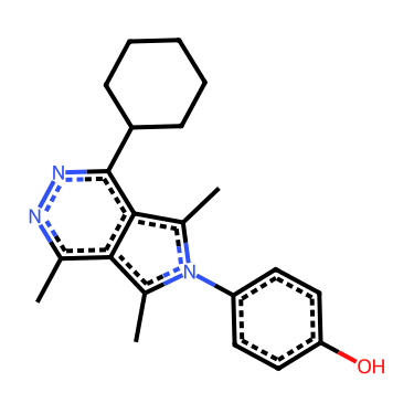 Cc1nnc(C2CCCCC2)c2c(C)n(-c3ccc(O)cc3)c(C)c12